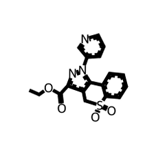 CCOC(=O)c1nn(-c2cccnc2)c2c1CS(=O)(=O)c1ccccc1-2